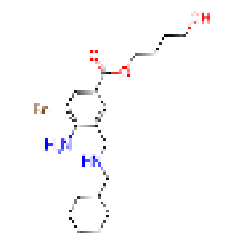 Nc1c(Br)cc(C(=O)OCCCCO)cc1CNCC1CCCCC1